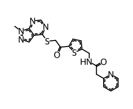 Cn1ncc2c(SCC(=O)c3ccc(CNC(=O)Cc4ccccn4)s3)ncnc21